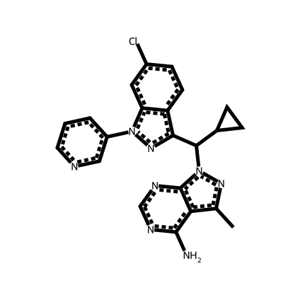 Cc1nn(C(c2nn(-c3cccnc3)c3cc(Cl)ccc23)C2CC2)c2ncnc(N)c12